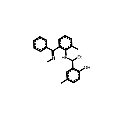 CCC(Pc1c(C)cccc1/C(=N/C)c1ccccc1)c1cc(C)ccc1O